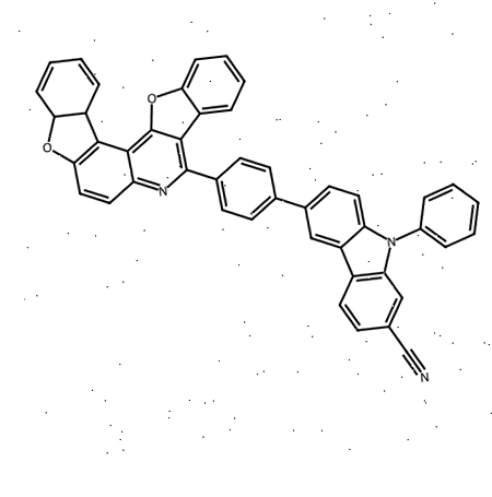 N#Cc1ccc2c3cc(-c4ccc(-c5nc6ccc7c(c6c6oc8ccccc8c56)C5C=CC=CC5O7)cc4)ccc3n(-c3ccccc3)c2c1